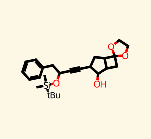 CC(C)(C)[Si](C)(C)OC(C#CC1CC2C(CC23OCCO3)C1O)Cc1ccccc1